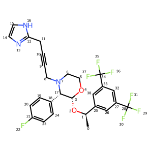 C[C@@H](O[C@H]1OCCN(CC#CCc2ncc[nH]2)[C@H]1c1ccc(F)cc1)c1cc(C(F)(F)F)cc(C(F)(F)F)c1